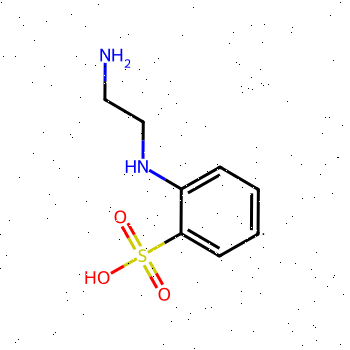 NCCNc1cc[c]cc1S(=O)(=O)O